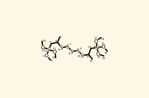 CO[Si](CC(C)SSSSSC(C)C[Si](OC)(OC)OC)(OC)OC